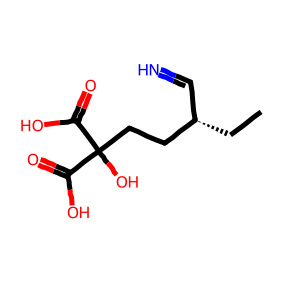 CC[C@@H](C=N)CCC(O)(C(=O)O)C(=O)O